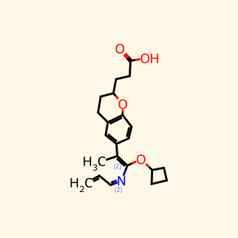 C=C/C=N\C(OC1CCC1)=C(/C)c1ccc2c(c1)CCC(CCC(=O)O)O2